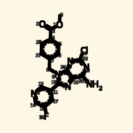 COC(=O)c1ccc(Cn2c(-c3cncc(F)c3)nc3c(N)nc(Cl)nc32)cc1